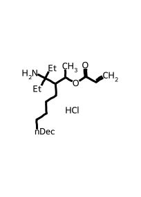 C=CC(=O)OC(C)C(CCCCCCCCCCCCCC)C(N)(CC)CC.Cl